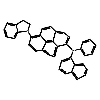 c1ccc(N(c2cccc3ccccc23)c2ccc3ccc4c(N5CCc6ccccc65)ccc5ccc2c3c54)cc1